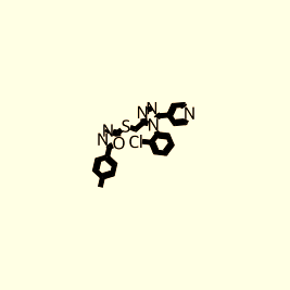 Cc1ccc(-c2nnc(SCc3nnc(-c4ccncc4)n3-c3ccccc3Cl)o2)cc1